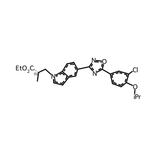 CCOC(=O)[C@@H](C)Cn1ccc2cc(-c3noc(-c4ccc(OC(C)C)c(Cl)c4)n3)ccc21